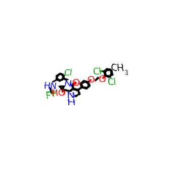 Cc1cc(Cl)c(OCCOc2ccc(C3=C(C(=O)N(Cc4cc(CNCC(F)F)ccc4Cl)C4CC4)C(CO)NCC3)cc2)c(Cl)c1